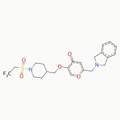 O=c1cc(CN2Cc3ccccc3C2)occ1OCC1CCN(S(=O)(=O)CC(F)(F)F)CC1